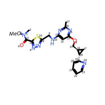 CON(C)C(=O)c1nnc(CNc2cc(OC[C@H]3C[C@@H]3c3ccccn3)nc(C)n2)s1